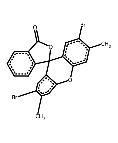 Cc1cc2c(cc1Br)C1(OC(=O)c3ccccc31)c1cc(Br)c(C)cc1O2